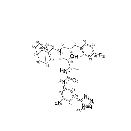 CCc1cc(NC(=O)N[C@@H](C)[C@@H](O)CN(CCCc2ccc(F)cc2)CC23CC4CC(CC(C4)C2)C3)cc(-c2nnnn2C)c1